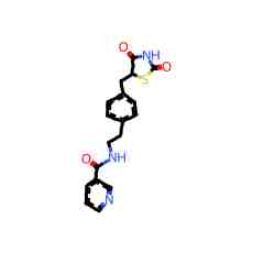 O=C1NC(=O)C(Cc2ccc(CCNC(=O)c3cccnc3)cc2)S1